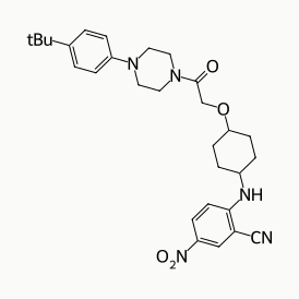 CC(C)(C)c1ccc(N2CCN(C(=O)COC3CCC(Nc4ccc([N+](=O)[O-])cc4C#N)CC3)CC2)cc1